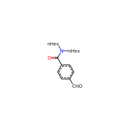 CCCCCCN(CCCCCC)C(=O)c1ccc(C=O)cc1